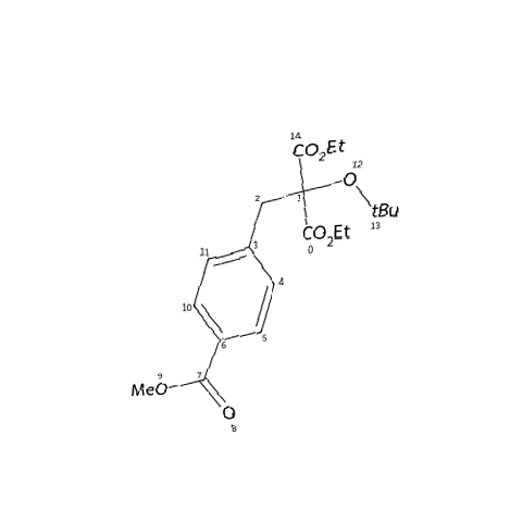 CCOC(=O)C(Cc1ccc(C(=O)OC)cc1)(OC(C)(C)C)C(=O)OCC